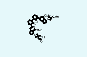 COc1cc(-c2cccc(-c3cccc(-c4cc5c(c(OC)n4)[C@@H](N4CC6(CNC(=O)C6)C4)CC5)c3Cl)c2Cl)cc2c1[C@H](N1CC(OC)C1)CC2